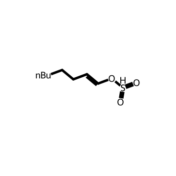 CCCCCCC=CO[SH](=O)=O